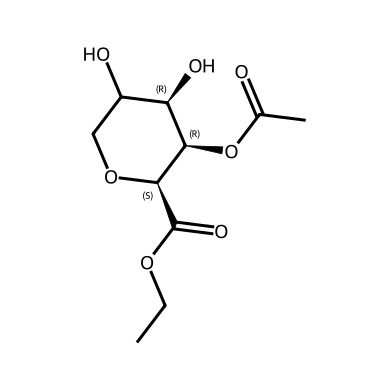 CCOC(=O)[C@H]1OCC(O)[C@@H](O)[C@H]1OC(C)=O